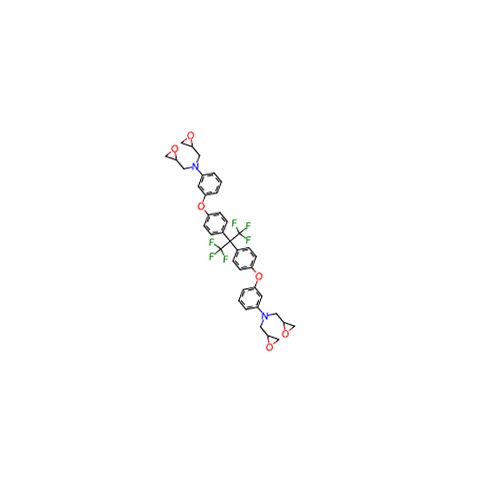 FC(F)(F)C(c1ccc(Oc2cccc(N(CC3CO3)CC3CO3)c2)cc1)(c1ccc(Oc2cccc(N(CC3CO3)CC3CO3)c2)cc1)C(F)(F)F